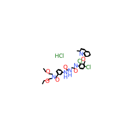 CCOCCN(CCOCC)C(=O)c1cccc(NC(=O)NCC(=O)N(C)c2ccc(Cl)c(COc3cccc4ccc(C)nc34)c2Cl)c1.Cl